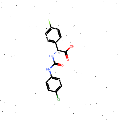 O=C(Nc1ccc(Cl)cc1)N[C@@H](C(=O)O)c1ccc(F)cc1